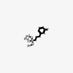 CC(C)O[Si](CCCc1cccc(F)c1)(OC(C)C)OC(C)C